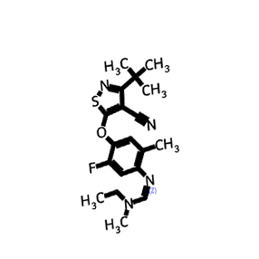 CCN(C)/C=N\c1cc(F)c(Oc2snc(C(C)(C)C)c2C#N)cc1C